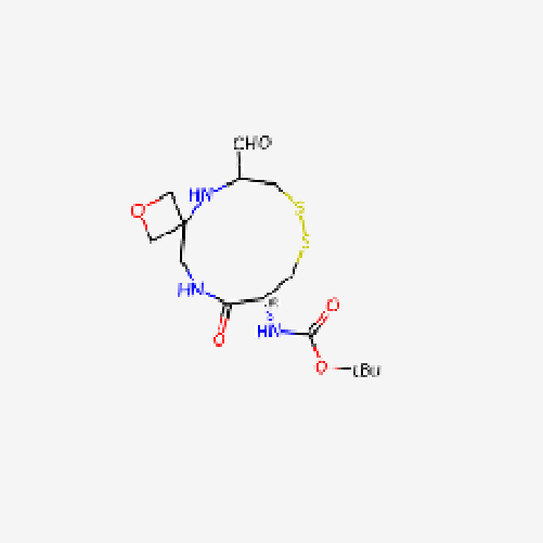 CC(C)(C)OC(=O)N[C@H]1CSSCC(C=O)NC2(CNC1=O)COC2